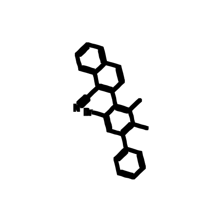 Cc1c(-c2ccccc2)cc(Br)c(-c2ccc3ccccc3c2C#N)c1C